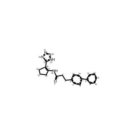 O=C(CCc1ccc(-c2ccccc2)cc1)NC1=C(c2nnn[nH]2)CCC1